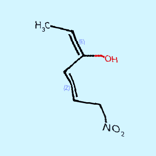 C/C=C(O)\C=C/C[N+](=O)[O-]